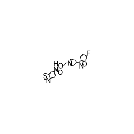 O=C(Nc1ccc2ncsc2c1)OCCN1CCC(c2noc3cc(F)ccc23)CC1